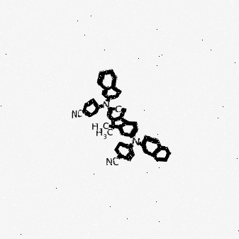 CC1(C)C2=C(CCC(N(C3=CCC4CCC=CC4=C3)C3C=CC(C#N)=CC3)=C2)C2=CC=C(N(C3=CCC(C#N)C=C3)C3C=CC4=C(C=CCC4)C3)CC21